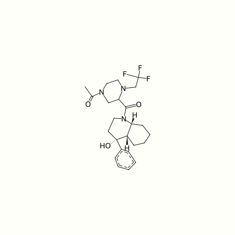 CC(=O)N1CCN(CC(F)(F)F)C(C(=O)N2CC[C@](O)(c3ccccc3)[C@H]3CCCC[C@H]32)C1